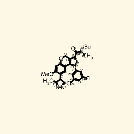 COc1cc2c(cc1C1C=NN=C1C)-c1c(c(C(=O)N(C)C(C)(C)C)nn1-c1cc(Cl)cc(Cl)c1)CO2